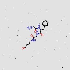 NCC(=O)NC(Cc1ccccc1)C(=O)NCC(=O)NCCCC=O